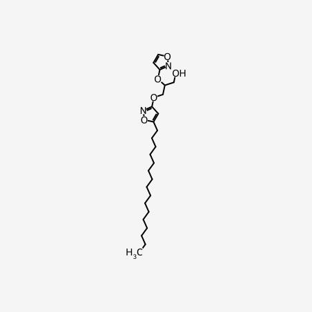 CCCCCCCCCCCCCCCCc1cc(OCC(CO)Oc2ccon2)no1